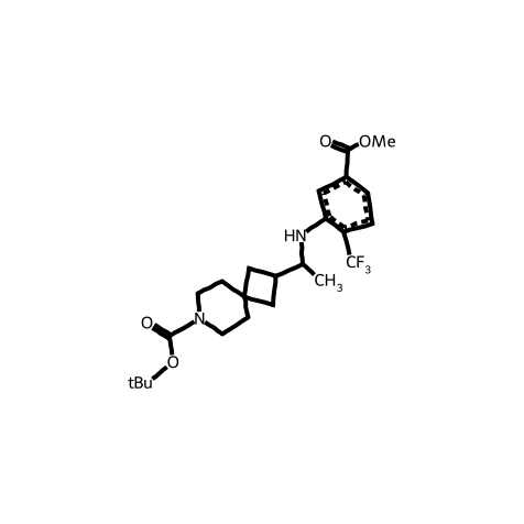 COC(=O)c1ccc(C(F)(F)F)c(NC(C)C2CC3(CCN(C(=O)OC(C)(C)C)CC3)C2)c1